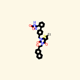 CCc1cc2c(=O)n(CC(=O)c3ccc4ccccc4c3)c(=O)n(Cc3ccc(-c4ccccc4-c4noc(=O)[nH]4)cc3)c2s1